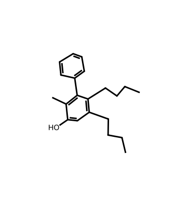 CCCCc1cc(O)c(C)c(-c2ccccc2)c1CCCC